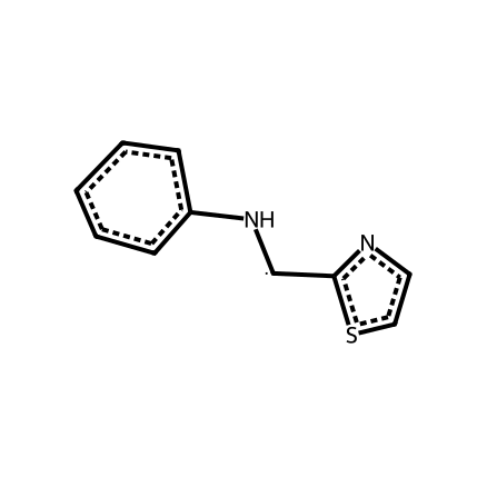 [CH](Nc1ccccc1)c1nccs1